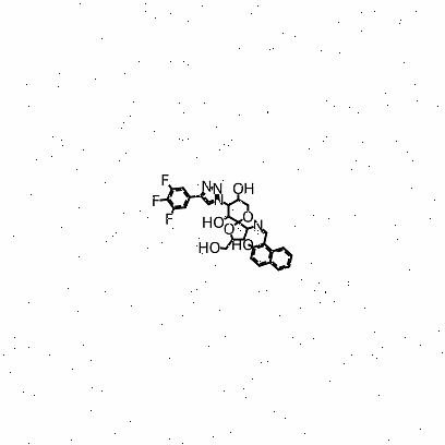 OCC1CC(/N=C\c2c(O)ccc3ccccc23)C2(OCC(O)C(n3cc(-c4cc(F)c(F)c(F)c4)nn3)C2O)O1